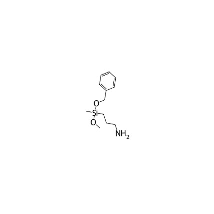 CO[Si](C)(CCCN)OCc1ccccc1